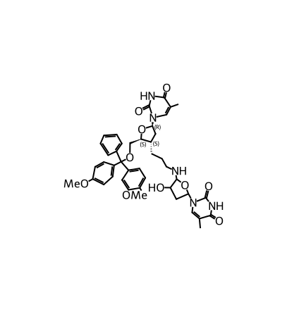 COc1ccc(C(OC[C@H]2O[C@@H](n3cc(C)c(=O)[nH]c3=O)C[C@@H]2CCCNC2OC(n3cc(C)c(=O)[nH]c3=O)CC2O)(c2ccccc2)c2ccc(OC)cc2)cc1